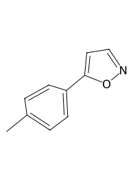 Cc1ccc(-c2ccno2)cc1